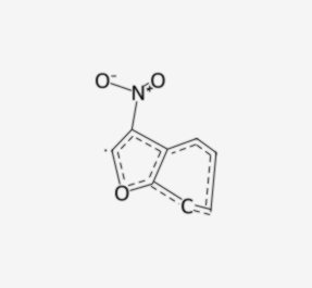 O=[N+]([O-])c1[c]oc2ccccc12